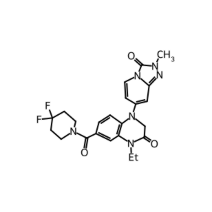 CCN1C(=O)CN(c2ccn3c(=O)n(C)nc3c2)c2ccc(C(=O)N3CCC(F)(F)CC3)cc21